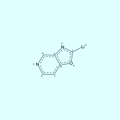 [Li][c]1nc2cnccc2o1